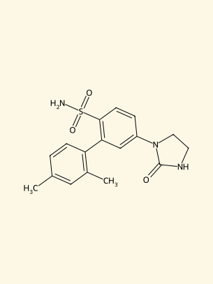 Cc1ccc(-c2cc(N3CCNC3=O)ccc2S(N)(=O)=O)c(C)c1